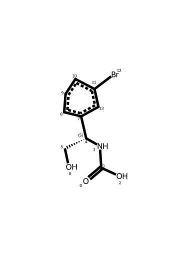 O=C(O)N[C@H](CO)c1cccc(Br)c1